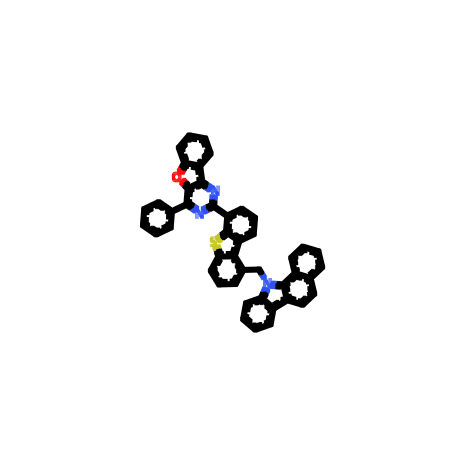 c1ccc(-c2nc(-c3cccc4c3sc3cccc(Cn5c6ccccc6c6ccc7ccccc7c65)c34)nc3c2oc2ccccc23)cc1